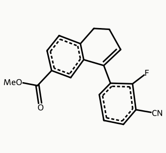 COC(=O)c1ccc2c(c1)C(c1cccc(C#N)c1F)=CCC2